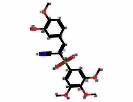 COc1ccc(/C=C(\C#N)S(=O)(=O)c2cc(OC)c(OC)c(OC)c2)cc1O